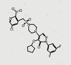 O=c1c(OC2CCCC2)c(N2CCN(S(=O)(=O)Cc3cc(Cl)cnc3[N+](=O)[O-])CC2)cnn1-c1cc(F)cc(F)c1